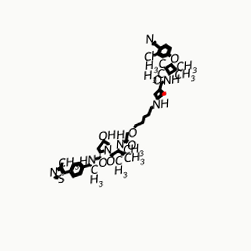 Cc1ncsc1-c1ccc([C@H](C)NC(=O)[C@@H]2C[C@@H](O)CN2C(=O)[C@@H](NC(=O)COCCCCCNC23CC(C(=O)N[C@H]4C(C)(C)[C@H](Oc5ccc(C#N)c(Cl)c5)C4(C)C)(C2)C3)C(C)(C)C)cc1